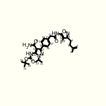 C=C(C)CCc1noc(NC(=O)Cc2ccc(-c3nn(C(C)C)c(NC(=O)OC(C)(C)C)c3C(N)=O)cc2)c1F